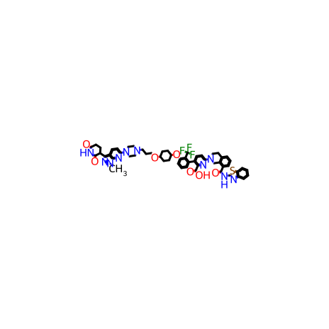 Cn1nc(C2CCC(=O)NC2=O)c2ccc(N3CCN(CCCOC4CCC(Oc5cccc(-c6ccc(N7CCc8cccc(C(=O)Nc9nc%10ccccc%10s9)c8C7)nc6C(=O)O)c5C(F)(F)F)CC4)CC3)nc21